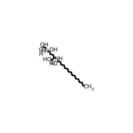 CCCCCCCCCCCCCCCC(O)NC(CCC(O)NCC(O)O)C(=O)O